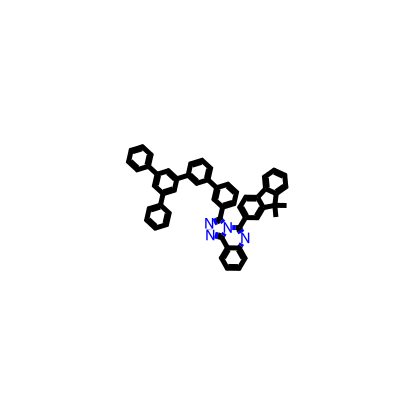 CC1(C)c2ccccc2-c2ccc(-c3nc4ccccc4c4nnc(-c5cccc(-c6cccc(-c7cc(-c8ccccc8)cc(-c8ccccc8)c7)c6)c5)n34)cc21